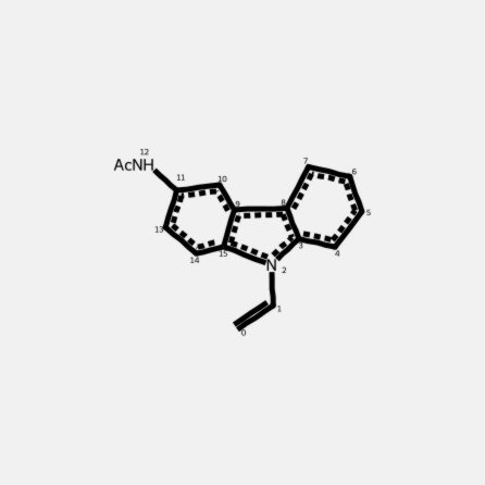 C=Cn1c2ccccc2c2cc(NC(C)=O)ccc21